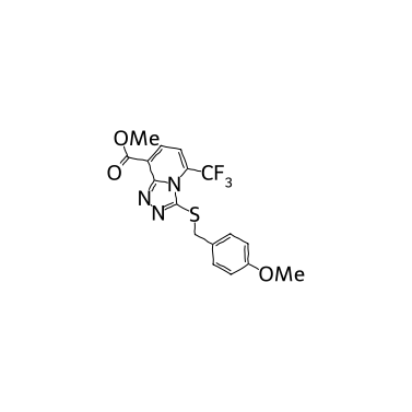 COC(=O)c1ccc(C(F)(F)F)n2c(SCc3ccc(OC)cc3)nnc12